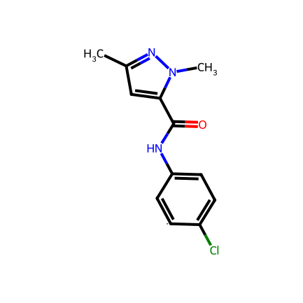 Cc1cc(C(=O)Nc2c[c]c(Cl)cc2)n(C)n1